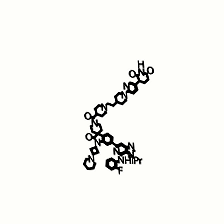 CC(C)n1cnc2cc(-c3ccc4c(c3)N([C@H]3C[C@@H](N5CCCCC5)C3)C(=O)C43CCN(C(=O)C4CCN(CCC5CCN(c6ccc(C7CCC(=O)NC7=O)cn6)CC5)CC4)CC3)nc(Nc3ccccc3F)c21